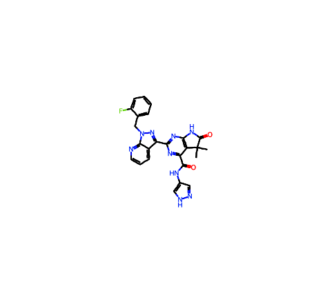 CC1(C)C(=O)Nc2nc(-c3nn(Cc4ccccc4F)c4ncccc34)nc(C(=O)Nc3cn[nH]c3)c21